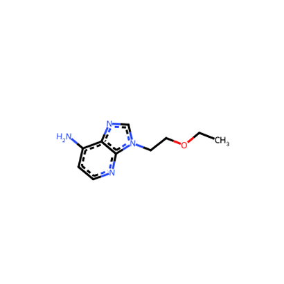 CCOCCn1cnc2c(N)ccnc21